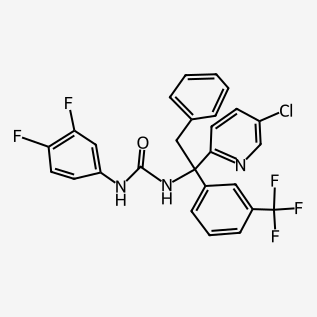 O=C(Nc1ccc(F)c(F)c1)NC(Cc1ccccc1)(c1cccc(C(F)(F)F)c1)c1ccc(Cl)cn1